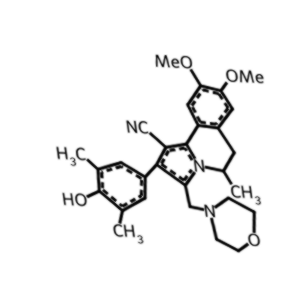 COc1cc2c(cc1OC)-c1c(C#N)c(-c3cc(C)c(O)c(C)c3)c(CN3CCOCC3)n1C(C)C2